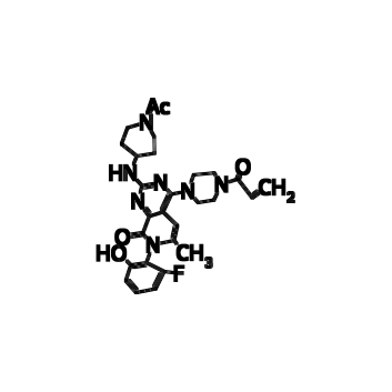 C=CC(=O)N1CCN(c2nc(NC3CCN(C(C)=O)CC3)nc3c(=O)n(-c4c(O)cccc4F)c(C)cc23)CC1